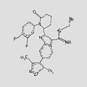 Cc1noc(C)c1-c1ccn2c(C(=N)SC=N)c(C3CCCC(=O)N3c3ccc(F)c(F)c3)nc2c1